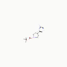 CC(C)(C)OC(=O)ON1CCC(c2cncc(N)n2)CC1